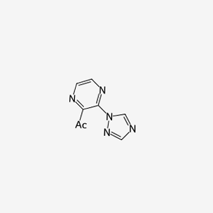 CC(=O)c1nccnc1-n1cncn1